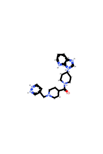 O=C(C1CCN(Cc2ccnnc2)CC1)N1CCC(n2cnc3cccnc32)CC1